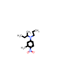 CCCN(c1ccc([N+](=O)[O-])c(C)c1)C(C)CC